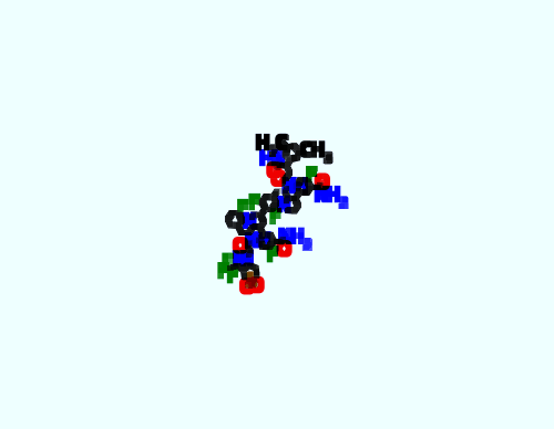 Cc1cc(C)c2c(c1)C(CC(=O)N[C@@H](Cc1cc(F)c(-c3cnc([C@H](Cc4cccc(F)c4)NC(=O)Cn4nc(C(F)(F)F)c5c4CCS(=O)(=O)C5)c(-c4ccc(F)c(C(N)=O)c4)c3)c(F)c1)c1ncccc1-c1ccc(F)c(C(N)=O)c1)C(=O)N2